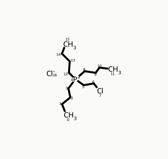 CCCC[P+](CCCl)(CCCC)CCCC.[Cl-]